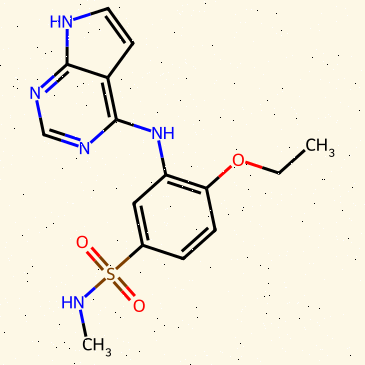 CCOc1ccc(S(=O)(=O)NC)cc1Nc1ncnc2[nH]ccc12